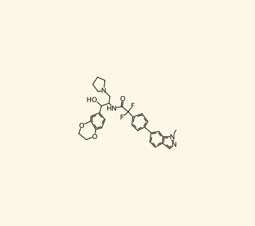 Cn1ncc2ccc(-c3ccc(C(F)(F)C(=O)NC(CN4CCCC4)C(O)c4ccc5c(c4)OCCO5)cc3)cc21